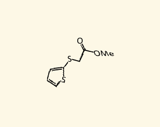 COC(=O)CSc1cccs1